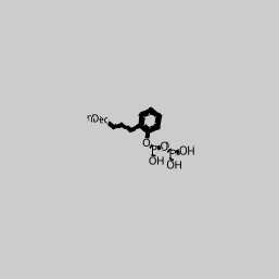 CCCCCCCCCCCCCc1ccccc1OP(O)OP(O)O